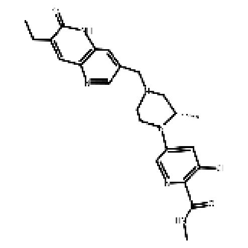 CCc1cc2ncc(CN3CCN(c4cnc(C(=O)NC)c(Cl)c4)[C@@H](C)C3)cc2[nH]c1=O